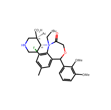 COc1cccc(C2OCC(=O)[N+](CC(C)(C)C)([C@@H]3CCNC[C@@]3(C(C)=O)C(=O)O)c3c(F)cc(C)cc32)c1OC